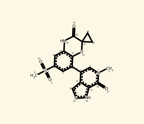 Cn1cc(-c2cc(S(C)(=O)=O)cc3c2OC2(CC2)C(=O)N3)c2cn[nH]c2c1=O